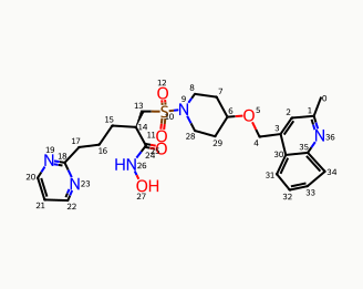 Cc1cc(COC2CCN(S(=O)(=O)C[C@H](CCCc3ncccn3)C(=O)NO)CC2)c2ccccc2n1